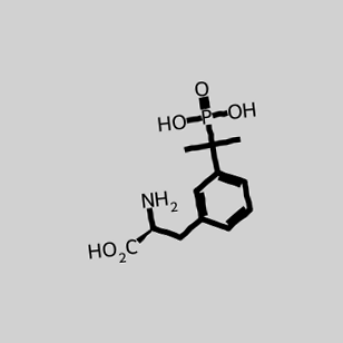 CC(C)(c1cccc(C[C@H](N)C(=O)O)c1)P(=O)(O)O